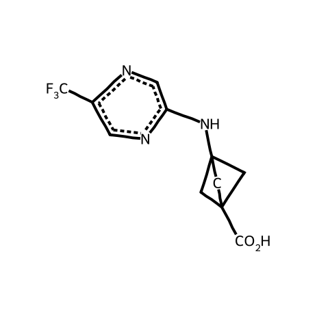 O=C(O)C12CC(Nc3cnc(C(F)(F)F)cn3)(C1)C2